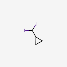 IC(I)C1CC1